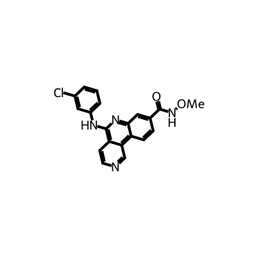 CONC(=O)c1ccc2c(c1)nc(Nc1cccc(Cl)c1)c1ccncc12